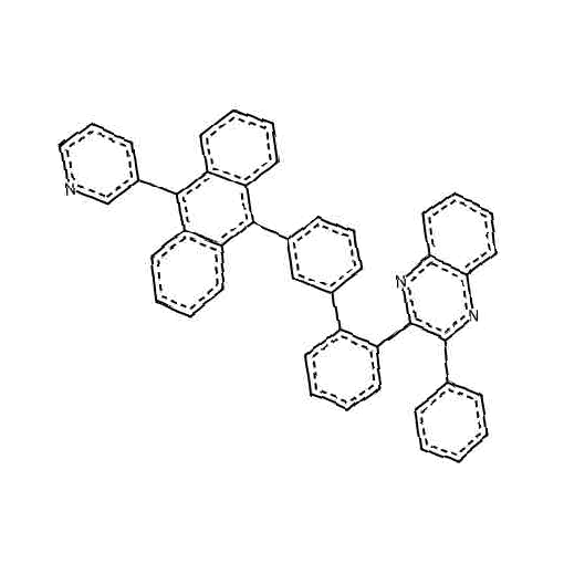 c1ccc(-c2nc3ccccc3nc2-c2ccccc2-c2cccc(-c3c4ccccc4c(-c4cccnc4)c4ccccc34)c2)cc1